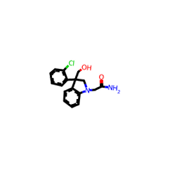 NC(=O)CN1CC(CO)(c2ccccc2Cl)c2ccccc21